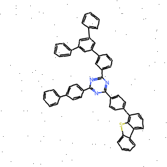 c1ccc(-c2ccc(-c3nc(-c4ccc(-c5cccc6c5sc5ccccc56)cc4)nc(-c4cccc(-c5cc(-c6ccccc6)cc(-c6ccccc6)c5)c4)n3)cc2)cc1